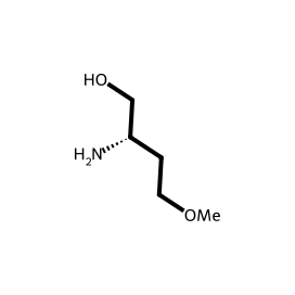 COCC[C@H](N)CO